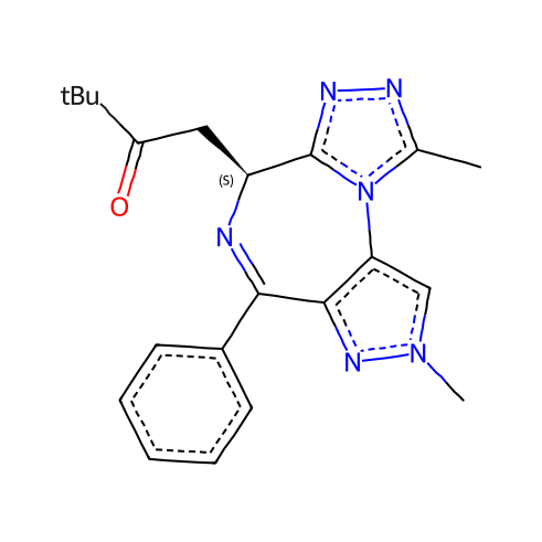 Cc1nnc2n1-c1cn(C)nc1C(c1ccccc1)=N[C@H]2CC(=O)C(C)(C)C